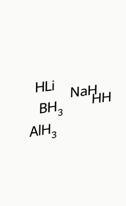 B.[AlH3].[HH].[LiH].[NaH]